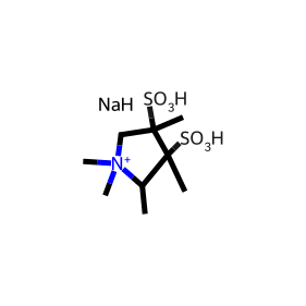 CC1C(C)(S(=O)(=O)O)C(C)(S(=O)(=O)O)C[N+]1(C)C.[NaH]